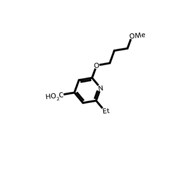 CCc1cc(C(=O)O)cc(OCCCOC)n1